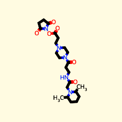 CC1CCCC(C)N1CC(=O)NCCC(=O)N1CCN(CCC(=O)ON2C(=O)CCC2=O)CC1